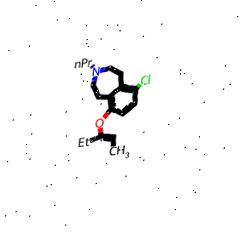 CC=C(CC)Oc1ccc(Cl)c2c1CCN(CCC)CC2